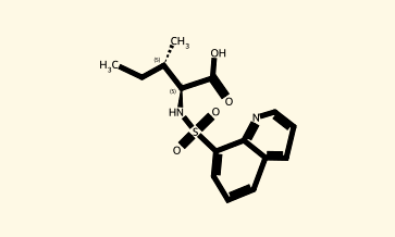 CC[C@H](C)[C@H](NS(=O)(=O)c1cccc2cccnc12)C(=O)O